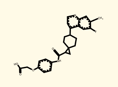 Cc1cc2nccc(C3CCC4(CC3)CC4C(=O)Nc3ccc(OCC(=O)O)cc3)c2cc1F